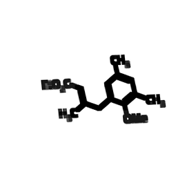 CCOC(=O)C=C(C)Cc1cc(C)cc(C)c1OC